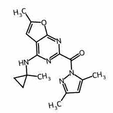 Cc1cc(C)n(C(=O)c2nc(NC3(C)CC3)c3cc(C)oc3n2)n1